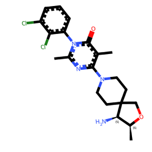 Cc1c(N2CCC3(CC2)CO[C@@H](C)[C@H]3N)nc(C)n(-c2cccc(Cl)c2Cl)c1=O